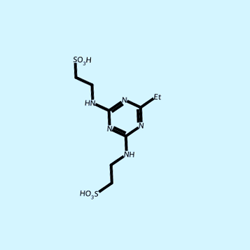 CCc1nc(NCCS(=O)(=O)O)nc(NCCS(=O)(=O)O)n1